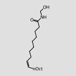 CCCCCCCC/C=C\CCCCCCCC(=O)NCO